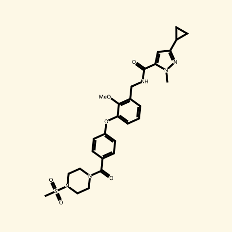 COc1c(CNC(=O)c2cc(C3CC3)nn2C)cccc1Oc1ccc(C(=O)N2CCN(S(C)(=O)=O)CC2)cc1